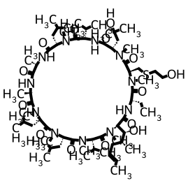 C/C=C/C[C@@H](C)[C@@H](O)[C@H]1C(=O)N[C@@H](CC)C(=O)N(C)[C@H](CSCCO)C(=O)N(C)[C@@H](CC(C)(C)O)C(=O)N[C@@H](C(C)C)C(=O)N(C)[C@@H](CC(C)C)C(=O)N[C@@H](C)C(=O)N[C@H](C)C(=O)N(C)[C@@H](CC(C)C)C(=O)N(C)[C@@H](CC(C)C)C(=O)N(C)[C@@H](C(C)C)C(=O)N1C